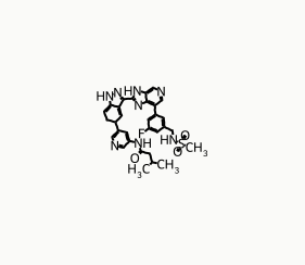 CC(C)CC(=O)Nc1cncc(C2C=c3c(-c4nc5c(-c6cc(F)cc(CNS(C)(=O)=O)c6)cncc5[nH]4)n[nH]c3=CC2)c1